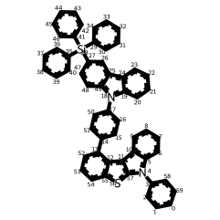 c1ccc(-n2c3ccccc3c3c4c(-c5ccc(-n6c7ccccc7c7cc([Si](c8ccccc8)(c8ccccc8)c8ccccc8)ccc76)cc5)cccc4sc32)cc1